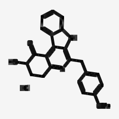 COc1ccc(Cc2nc3c(c4c2[nH]c2ccccc24)C(=O)C(O)CC3)cc1.Cl